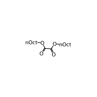 CCCCCCCCOC(=O)C(=O)OCCCCCCCC